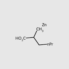 CCCCC(C)C(=O)O.[Zn]